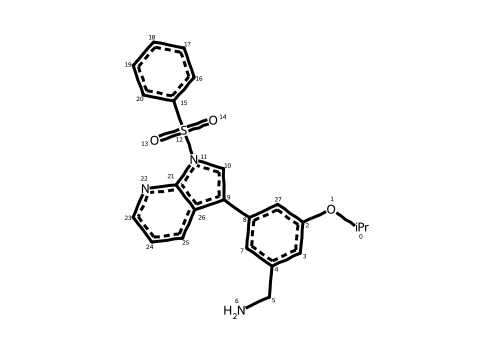 CC(C)Oc1cc(CN)cc(-c2cn(S(=O)(=O)c3ccccc3)c3ncccc23)c1